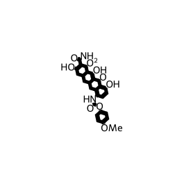 COc1ccc(OC(=O)Nc2ccc(O)c3c2CC2CC4CC(O)=C(C(N)=O)C(=O)C4C(O)=C2C3=O)cc1